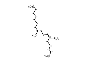 CCCCCCCCCCCCCCCCC(C)CCCC(C)CCCCCCCCCCCCCC